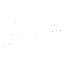 CN(C)c1ccc(Cc2ccc(N(CC(=O)O)CC(=O)O)cc2)cc1